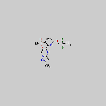 CCS(=O)(=O)c1ccc(OCC(F)(F)C(F)(F)F)nc1-c1ccn2nc(C(F)(F)F)cc2n1